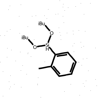 CCC(C)O[SiH](OC(C)CC)c1ccccc1C